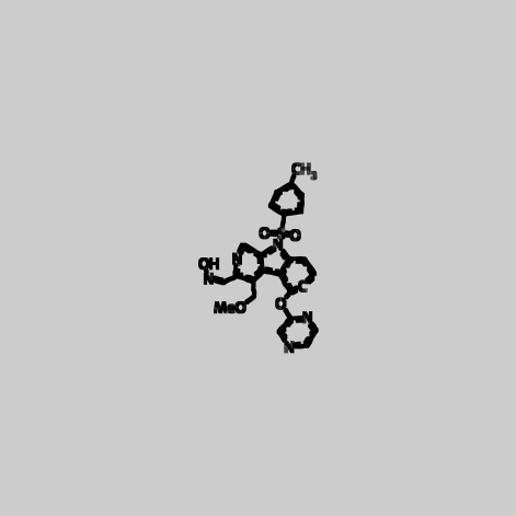 COCc1c(/C=N\O)ncc2c1c1c(Oc3cnccn3)cccc1n2S(=O)(=O)c1ccc(C)cc1